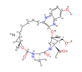 COC[C@@H]1[C@@H]2CN(C(=O)[C@H](C(C)(C)C)NC(=O)O[C@@H]3C[C@H]3CCCCCc3nc4ccc(OC)cc4nc3O2)[C@@H]1C(C)=O